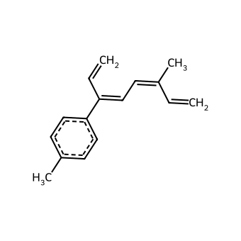 C=C/C(C)=C\C=C(/C=C)c1ccc(C)cc1